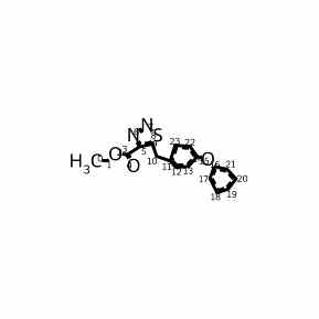 CCOC(=O)c1nnsc1Cc1ccc(Oc2ccccc2)cc1